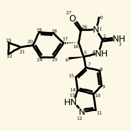 CN1C(=N)N[C@](C)(c2ccc3cn[nH]c3c2)[C@H](c2ccc(C3CC3)cc2)C1=O